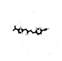 CC(C)c1csc(CC(=O)CCc2ccc(C#N)nn2)n1